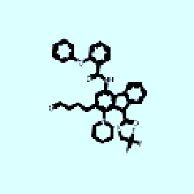 O=CCCCc1cc(NC(=O)c2ccccc2Oc2ccccc2)c2c(c1N1CCCCC1)C(C(=O)NCC(F)(F)F)c1ccccc1-2